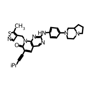 Cc1sncc1Cn1c(=O)c(C#CC(C)C)cc2cnc(Nc3ccc(N4CCN5CCCC5C4)cc3)nc21